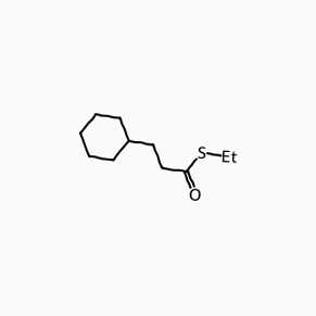 CCSC(=O)CCC1CCCCC1